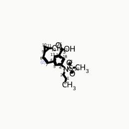 CCCN(c1cc(/C=C\C2CC2C)cc(C(=O)O)c1)S(C)(=O)=O